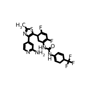 Cc1nc(-c2ccnc(N)c2)c(C2CC(NC(=O)NC3=CCC(C(F)(F)F)C=C3)=C(F)C=C2F)s1